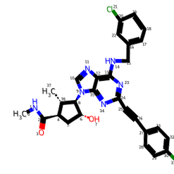 CNC(=O)[C@@H]1C[C@@H](O)[C@H](n2cnc3c(NCc4cccc(Cl)c4)nc(C#Cc4ccc(F)cc4)nc32)[C@H]1C